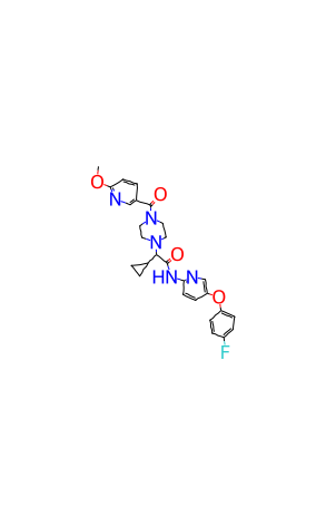 COc1ccc(C(=O)N2CCN(C(C(=O)Nc3ccc(Oc4ccc(F)cc4)cn3)C3CC3)CC2)cn1